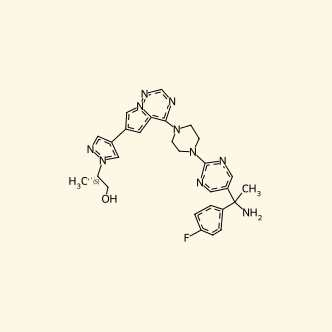 C[C@@H](CO)n1cc(-c2cc3c(N4CCN(c5ncc(C(C)(N)c6ccc(F)cc6)cn5)CC4)ncnn3c2)cn1